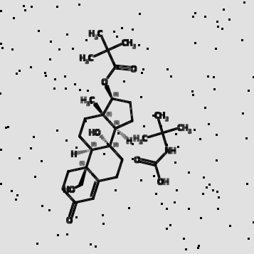 CC(C)(C)C(=O)O[C@H]1CC[C@@H]2[C@]1(C)CC[C@@H]1[C@@]3(CO)CCC(=O)C=C3CC[C@@]12O.CC(C)(C)NC(=O)O